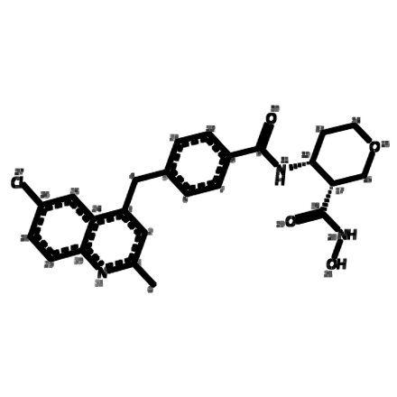 Cc1cc(Cc2ccc(C(=O)N[C@@H]3CCOC[C@@H]3C(=O)NO)cc2)c2cc(Cl)ccc2n1